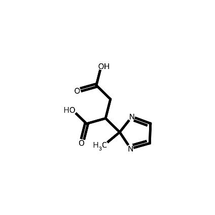 CC1(C(CC(=O)O)C(=O)O)N=CC=N1